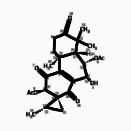 CC(=O)O[C@@H]1[C@@H](O)C2=C(C(=O)[C@H](OC(C)=O)[C@@]3(C[C@@H]3C)C2=O)[C@@]2(C)CCC(=O)C(C)(C)[C@H]12